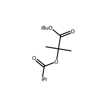 CC(C)COC(=O)C(C)(C)OC(=O)C(C)C